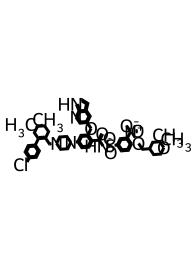 CC1(C)CCC(CN2CCN(c3ccc(C(=O)NS(=O)(=O)c4ccc(OCC5CCOC(C)(C)C5)c([N+](=O)[O-])c4)c(Oc4cnc5[nH]ccc5c4)c3)CC2)=C(c2ccc(Cl)cc2)C1